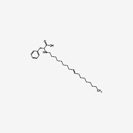 CCCCCCCCC=CCCCCCCCCN[C@@H](Cc1ccccc1)C(=O)O